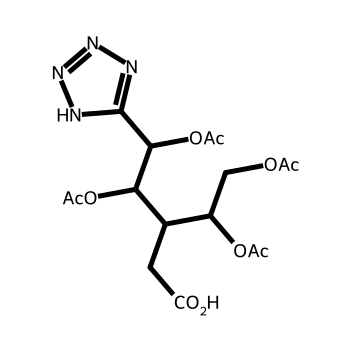 CC(=O)OCC(OC(C)=O)C(CC(=O)O)C(OC(C)=O)C(OC(C)=O)c1nnn[nH]1